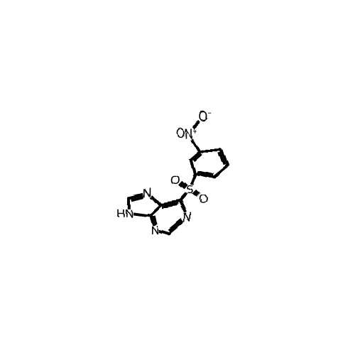 O=[N+]([O-])c1cccc(S(=O)(=O)c2ncnc3[nH]cnc23)c1